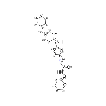 O=C(/C=C/c1csc(NC2CCN(Cc3ccccc3)CC2)n1)NOC1CCCCO1